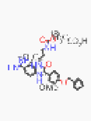 CC(=O)O.COc1cc([C@H](Nc2ccc(C(=N)N)cc2)C(=O)N[C@@H](CCNC(=O)OC(C)(C)C)C(=O)O)ccc1OCc1ccccc1